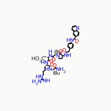 CC[C@H](C)[C@H](NC(=O)[C@@H](CCCCNC(=N)N)NC(=O)[C@H](CC(=O)O)NC(=O)[C@H]([C@@H](C)CC)N1CCC(NC(=O)Cc2ccc(NC(=O)c3ccc4ncccc4c3)cc2)C1=O)C(N)=O